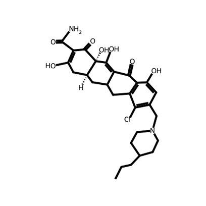 CCCC1CCN(Cc2cc(O)c3c(c2Cl)CC2C[C@H]4CC(O)=C(C(N)=O)C(=O)[C@@]4(O)C(O)=C2C3=O)CC1